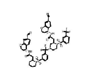 N#Cc1ccc2c(c1)OCC[C@H]2NC(=O)CC1CCCCN1S(=O)(=O)c1cccc(C(F)(F)F)c1.O=Cc1ccc2c(c1)OCC[C@H]2NC(=O)CC1CCCCN1S(=O)(=O)c1cccc(C(F)(F)F)c1